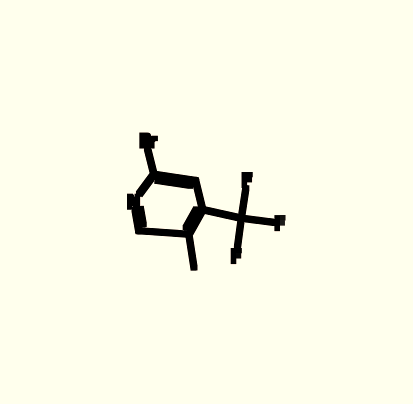 Cc1cnc(Br)cc1C(F)(F)F